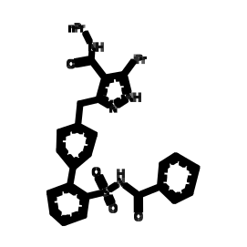 CCCNC(=O)c1c(Cc2ccc(-c3ccccc3S(=O)(=O)NC(=O)c3ccccc3)cc2)n[nH]c1C(C)C